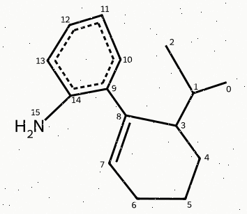 CC(C)C1CCCC=C1c1ccccc1N